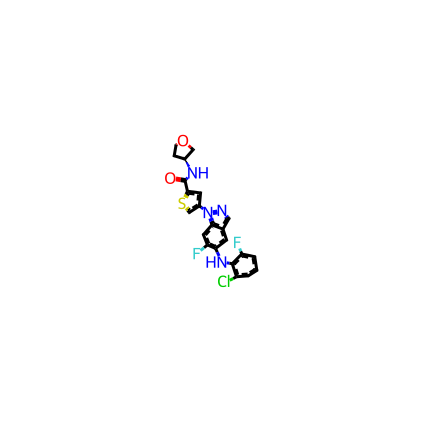 O=C(N[C@H]1CCOC1)c1cc(-n2ncc3cc(Nc4c(F)cccc4Cl)c(F)cc32)cs1